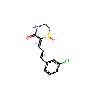 O=C1NCC[S+]([O-])/C1=C\C=C\c1cccc(Cl)c1